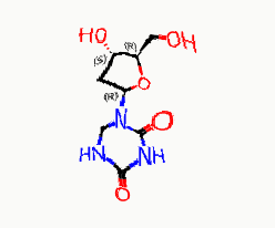 O=C1NCN([C@H]2C[C@H](O)[C@@H](CO)O2)C(=O)N1